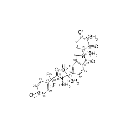 BN1C(=O)CC[C@](B)(N2Cc3cc(C(B)(B)N(B)C(=O)C(F)(F)c4ccc(Cl)cc4)ccc3C2=O)C1=O